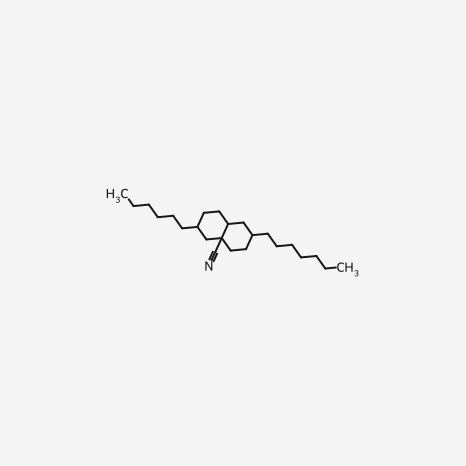 CCCCCCCC1CCC2(C#N)CC(CCCCCC)CCC2C1